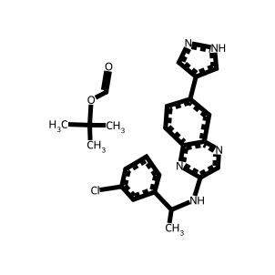 CC(C)(C)OC=O.CC(Nc1cnc2cc(-c3cn[nH]c3)ccc2n1)c1cccc(Cl)c1